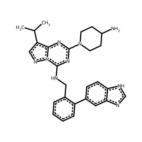 CC(C)c1cnn2c(NCc3ccccc3-c3ccc4[nH]cnc4c3)nc(N3CCC(N)CC3)nc12